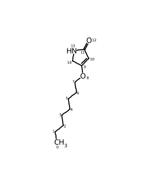 CCCCCCCCOC1=CC(=O)NC1